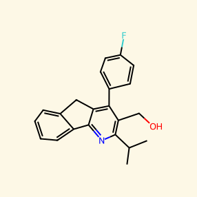 CC(C)c1nc2c(c(-c3ccc(F)cc3)c1CO)Cc1ccccc1-2